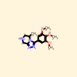 COc1cc(-c2nnc3n2C(C)CNC3)cc(OC)c1OC